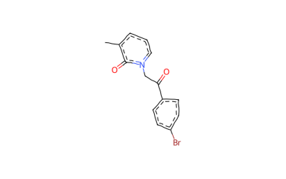 Cc1cccn(CC(=O)c2ccc(Br)cc2)c1=O